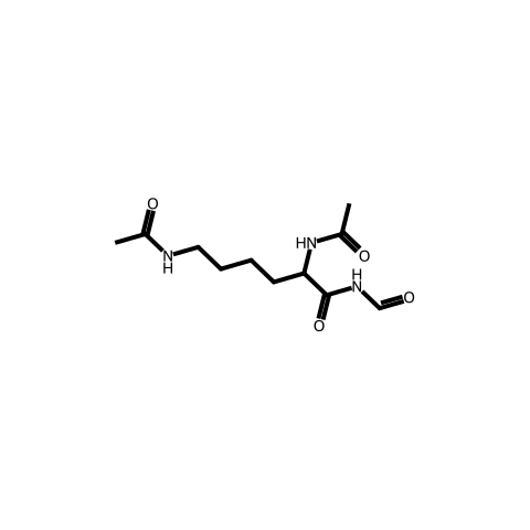 CC(=O)NCCCCC(NC(C)=O)C(=O)NC=O